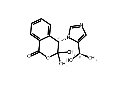 C[C@@H](O)c1cncn1[C@H]1c2ccccc2C(=O)OC1(C)C